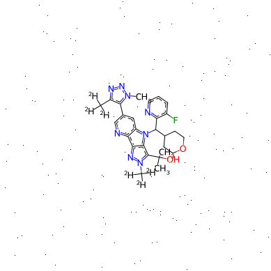 [2H]C([2H])([2H])c1nnn(C)c1-c1cnc2c3nn(C([2H])([2H])[2H])c(C(C)(C)O)c3n(C(c3ncccc3F)C3CCOCC3)c2c1